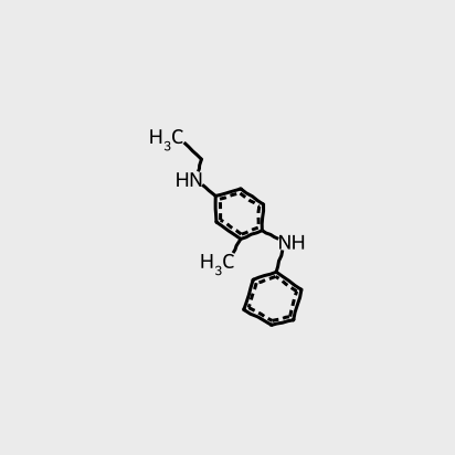 CCNc1ccc(Nc2ccccc2)c(C)c1